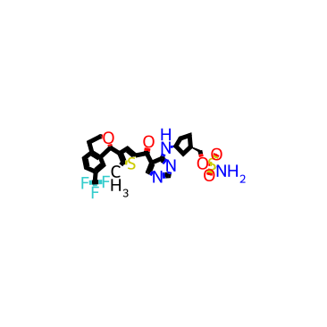 Cc1sc(C(=O)c2cncnc2N[C@H]2CC[C@@H](COS(N)(=O)=O)C2)cc1C1OCCc2ccc(C(F)(F)F)cc21